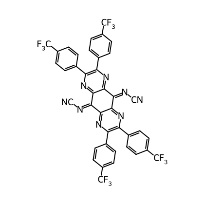 N#CN=C1c2nc(-c3ccc(C(F)(F)F)cc3)c(-c3ccc(C(F)(F)F)cc3)nc2C(=NC#N)c2nc(-c3ccc(C(F)(F)F)cc3)c(-c3ccc(C(F)(F)F)cc3)nc21